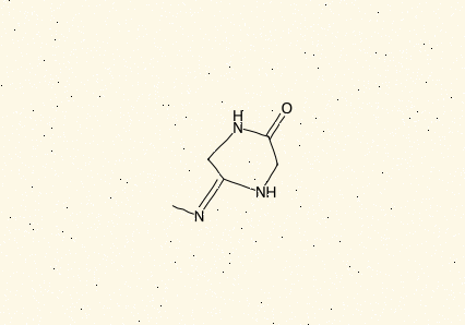 CN=C1CNC(=O)CN1